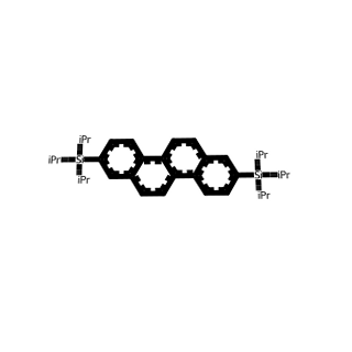 CC(C)[Si](c1ccc2c(ccc3c4ccc([Si](C(C)C)(C(C)C)C(C)C)cc4ccc23)c1)(C(C)C)C(C)C